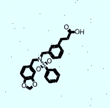 O=C(O)CCc1cccc(CN(Cc2ccc3c(c2)OCO3)S(=O)(=O)c2ccccc2)c1